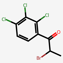 CC(Br)C(=O)c1ccc(Cl)c(Cl)c1Cl